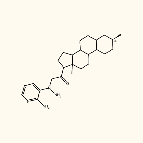 C[C@H]1CCC2C(CCC3C2CCC2(C)C(C(=O)CN(N)c4cccnc4N)CCC32)C1